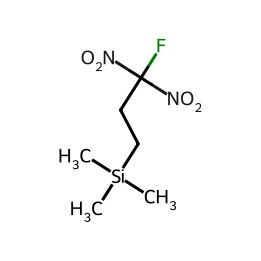 C[Si](C)(C)CCC(F)([N+](=O)[O-])[N+](=O)[O-]